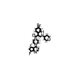 C[C@@H]1C[C@H](F)c2ncnc(N3CCN(C(=O)C(CNC4CCOCC4)c4ccc(Br)cc4)CC3)c21